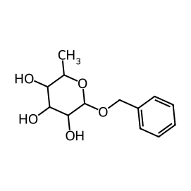 CC1OC(OCc2ccccc2)C(O)C(O)C1O